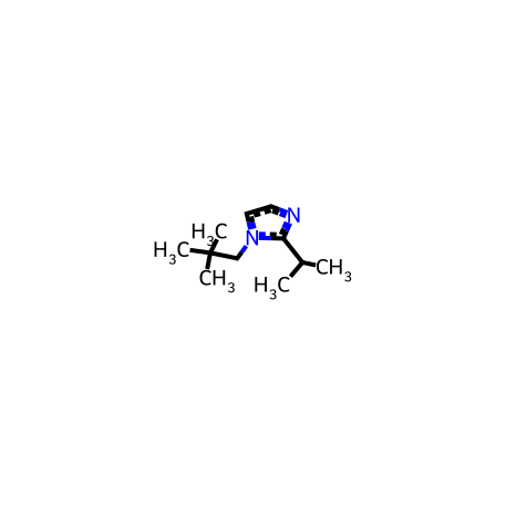 CC(C)c1nccn1CC(C)(C)C